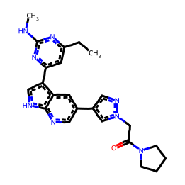 CCc1cc(-c2c[nH]c3ncc(-c4cnn(CC(=O)N5CCCC5)c4)cc23)nc(NC)n1